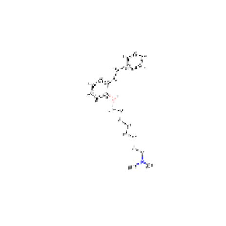 CCN(CC)CCCCCCCCOc1ccccc1CCc1ccccc1